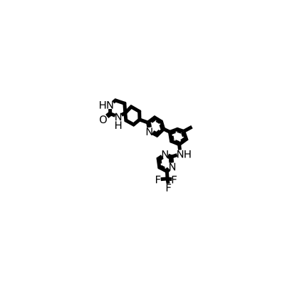 Cc1cc(Nc2nccc(C(F)(F)F)n2)cc(-c2ccc(C3CCC4(CCNC(=O)N4)CC3)nc2)c1